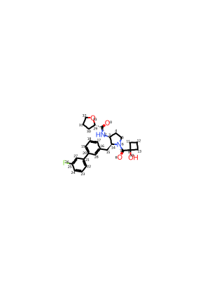 O=C(N[C@H]1CCN(C(=O)C2(O)CCC2)[C@H]1Cc1cccc(-c2cccc(F)c2)c1)[C@@H]1CCCO1